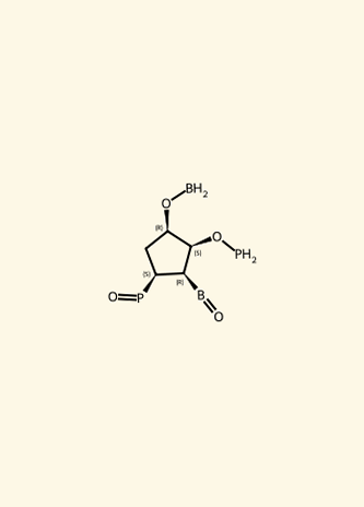 BO[C@@H]1C[C@H](P=O)[C@H](B=O)[C@@H]1OP